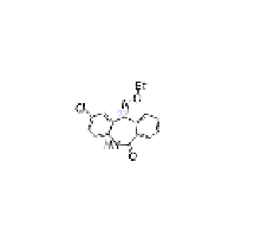 CCO/N=c1/c2cc(Cl)ccc2[nH]c(=O)c2ccccc12